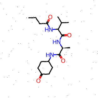 [CH2]CCC(=O)NC(C(=O)N[C@@H](C)C(=O)NC1CCC(=O)CC1)C(C)C